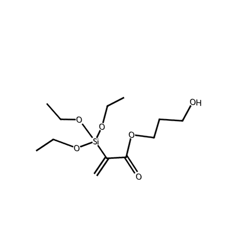 C=C(C(=O)OCCCO)[Si](OCC)(OCC)OCC